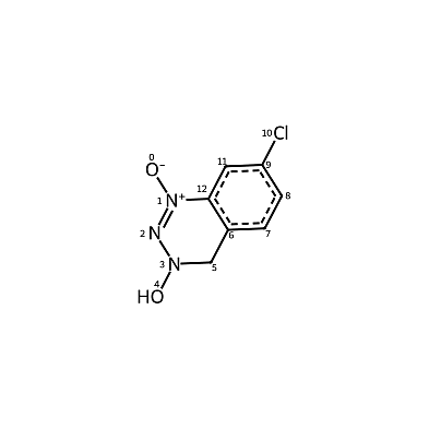 [O-][N+]1=NN(O)Cc2ccc(Cl)cc21